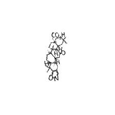 CC1(C)CC[C@]2(CC(=O)O)CC[C@]3(C)[C@H](C(=O)C[C@@H]4[C@@]5(C)Cc6cnoc6C(C)(C)[C@@H]5CC[C@]43C)[C@@H]2C1